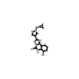 O=c1[nH]c2c(Br)cccc2c2nc(-c3cnn(CC4CC4)c3)nn12